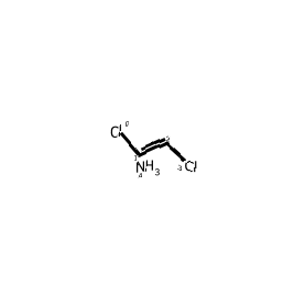 ClC=CCl.N